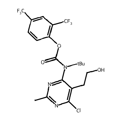 Cc1nc(Cl)c(CCO)c(N(C(=O)Oc2ccc(C(F)(F)F)cc2C(F)(F)F)C(C)(C)C)n1